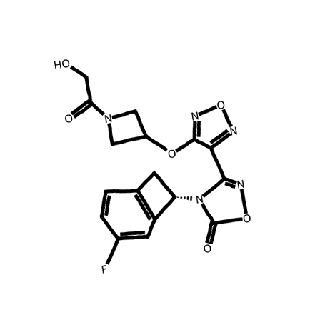 O=C(CO)N1CC(Oc2nonc2-c2noc(=O)n2[C@H]2Cc3ccc(F)cc32)C1